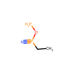 CCP(#N)OP